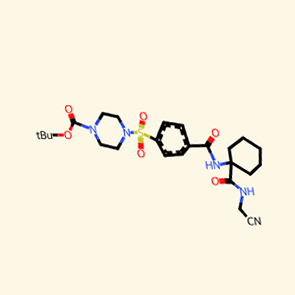 CC(C)(C)OC(=O)N1CCN(S(=O)(=O)c2ccc(C(=O)NC3(C(=O)NCC#N)CCCCC3)cc2)CC1